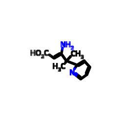 CC(C)(C(N)=CC(=O)O)c1ccccn1